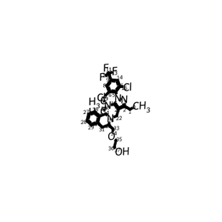 CCc1nn(-c2c(Cl)cc(C(F)(F)F)cc2Cl)c(N(C)C)c1CN1Cc2ccccc2CC1COCCO